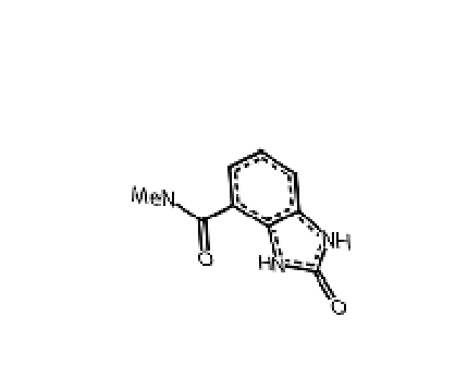 CNC(=O)c1cccc2[nH]c(=O)[nH]c12